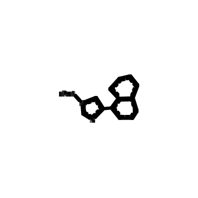 CCCCCn1cnc(-c2cccc3ccccc23)c1